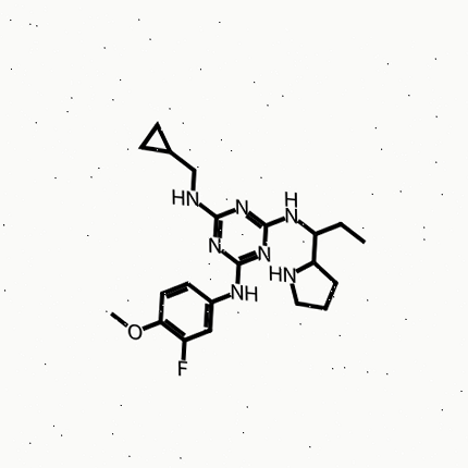 CCC(Nc1nc(NCC2CC2)nc(Nc2ccc(OC)c(F)c2)n1)C1CCCN1